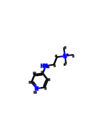 C[N+](C)(C)CCNc1ccncc1